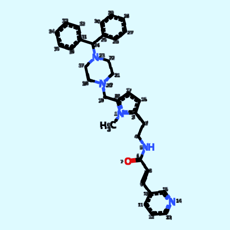 Cn1c(CCNC(=O)C=Cc2cccnc2)ccc1CN1CCN(C(c2ccccc2)c2ccccc2)CC1